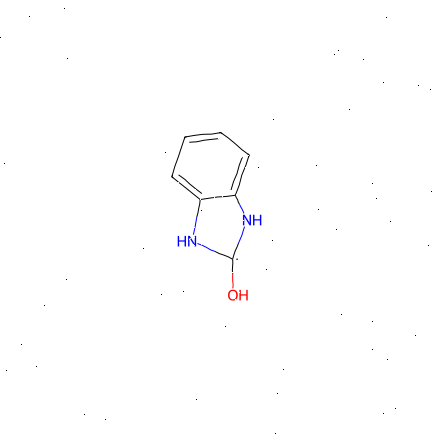 O[C]1Nc2ccccc2N1